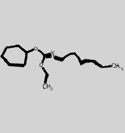 CCCCCCN=C(OCC)OC1CCCCC1